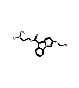 CN(C)CCOC(=O)c1c2ccccc2n2cc(OCC#N)ccc12